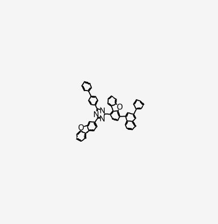 c1ccc(-c2ccc(-c3nc(-c4ccc5c(c4)oc4ccccc45)nc(-c4ccc(-c5cc(-c6ccccc6)cc6ccccc56)c5oc6ccccc6c45)n3)cc2)cc1